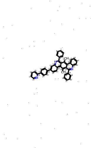 Cc1c2c(-c3ccccc3)nc3cc(-c4ccc(-c5ccccn5)cc4)ccc3c2c(C)c2c(-c3ccccc3)nc3ccccc3c12